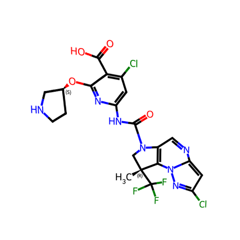 C[C@@]1(C(F)(F)F)CN(C(=O)Nc2cc(Cl)c(C(=O)O)c(O[C@H]3CCNC3)n2)c2cnc3cc(Cl)nn3c21